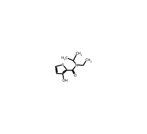 CCN(C(=O)c1sccc1O)C(C)C